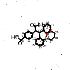 NC(=O)C(c1ccc(C(=O)O)cc1)C(c1ccccc1)c1ccccc1N1CCCCC1